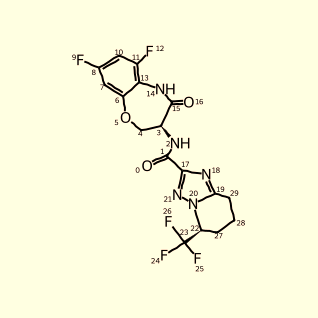 O=C(N[C@H]1COc2cc(F)cc(F)c2NC1=O)c1nc2n(n1)[C@H](C(F)(F)F)CCC2